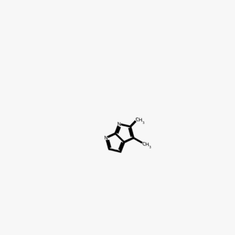 CC1=C(C)C2=CC=NC2=N1